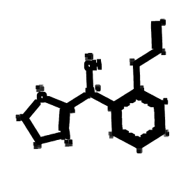 C=CCc1ccccc1N(O)C1=NCCO1